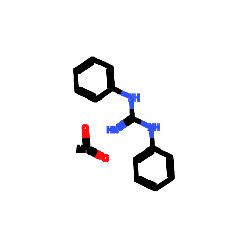 N=C(Nc1ccccc1)Nc1ccccc1.[O]=[Mn]=[O]